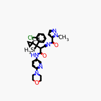 Cn1nccc1C(=O)[N+]#CC(C(=O)Nc1ccc(N2CCOCC2)nc1)C([SiH3])(c1ccccc1Cl)C1(C)CC1